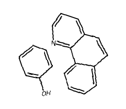 Oc1ccccc1.c1ccc2c(c1)ccc1cccnc12